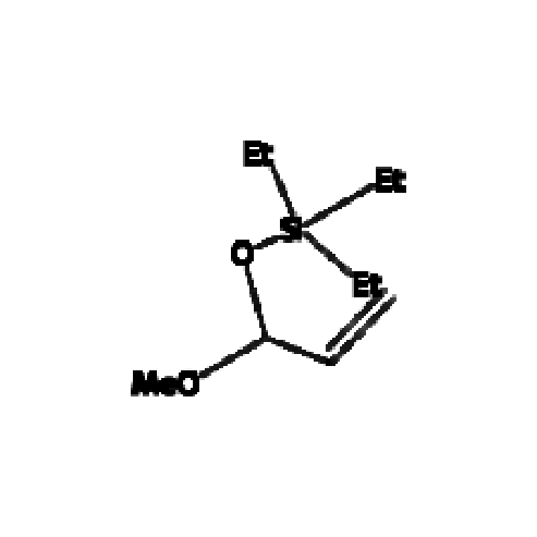 C=CC(OC)O[Si](CC)(CC)CC